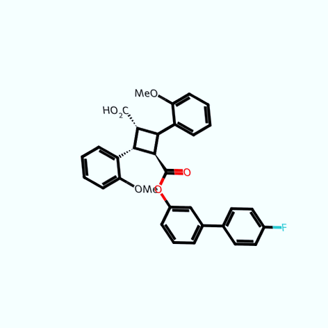 COc1ccccc1C1[C@@H](C(=O)O)[C@@H](c2ccccc2OC)[C@@H]1C(=O)Oc1cccc(-c2ccc(F)cc2)c1